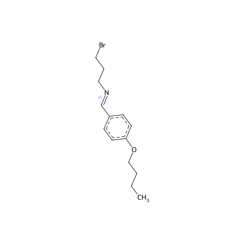 CCCCOc1ccc(/C=N/CCCBr)cc1